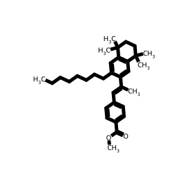 CCCCCCCCc1cc2c(cc1C(C)=Cc1ccc(C(=O)OC)cc1)C(C)(C)CCC2(C)C